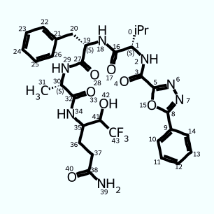 CC(C)[C@H](NC(=O)c1nnc(-c2ccccc2)o1)C(=O)N[C@@H](Cc1ccccc1)C(=O)N[C@@H](C)C(=O)NC(CCC(N)=O)C(O)C(F)(F)F